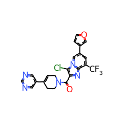 O=C(c1nc2c(C(F)(F)F)cc(-c3ccoc3)cn2c1Cl)N1CC=C(c2cncnc2)CC1